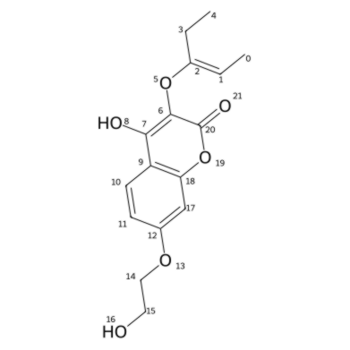 CC=C(CC)Oc1c(O)c2ccc(OCCO)cc2oc1=O